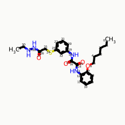 CCCCCCOc1ccccc1NC(=O)C(=O)Nc1cccc(SCC(=O)NNCC)c1